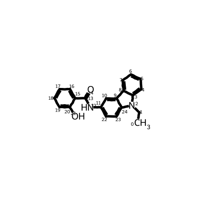 CCn1c2ccccc2c2cc(NC(=O)c3ccccc3O)ccc21